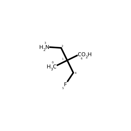 CC(CN)(CF)C(=O)O